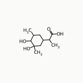 CC1CC(C(C)C(=O)O)CC(C)(O)C1O